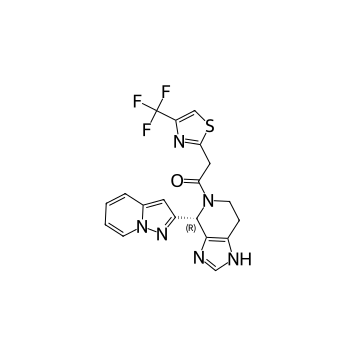 O=C(Cc1nc(C(F)(F)F)cs1)N1CCc2[nH]cnc2[C@@H]1c1cc2ccccn2n1